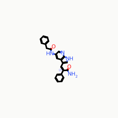 NC(=O)/C(=C\c1c[nH]c2ncc(NC(=O)Cc3ccccc3)cc12)c1ccccc1